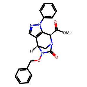 COC(=O)[C@@H]1c2c(cnn2-c2ccccc2)[C@@H]2CN1C(=O)N2OCc1ccccc1